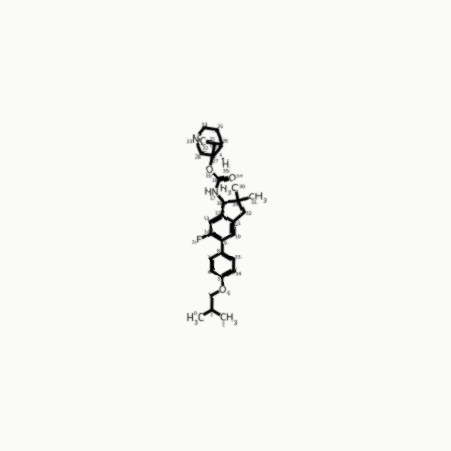 CC(C)COc1ccc(-c2cc3c(cc2F)C(NC(=O)O[C@H]2CN4CCC2CC4)C(C)(C)C3)cc1